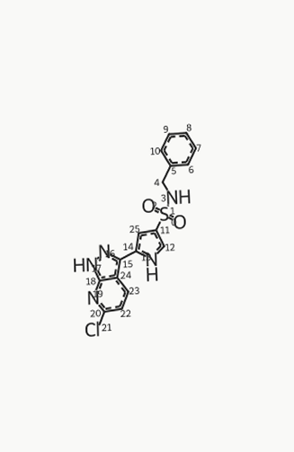 O=S(=O)(NCc1ccccc1)c1c[nH]c(-c2n[nH]c3nc(Cl)ccc23)c1